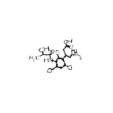 CCC(CC(=O)O)c1c(Cl)cc(Cl)c(NC(=O)C(C)C)c1Cl